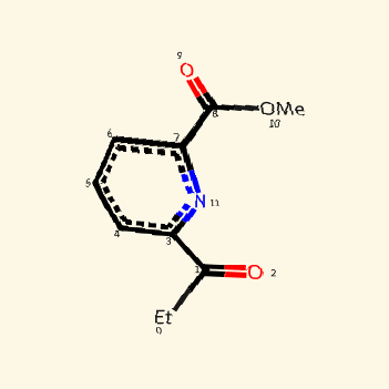 CCC(=O)c1cccc(C(=O)OC)n1